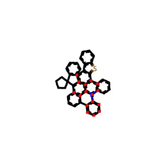 C1=CC(c2ccccc2-c2ccccc2-c2ccccc2N(c2ccc3c(c2)-c2ccccc2C32CCCC2)c2ccccc2-c2cccc3c2sc2ccccc23)=CCC1